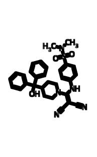 CN(C)S(=O)(=O)c1ccc(NC(=C(C#N)C#N)N2CCC(C(O)(c3ccccc3)c3ccccc3)CC2)cc1